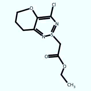 CCOC(=O)CS1=NC(Cl)=C2OCCCC2=N1